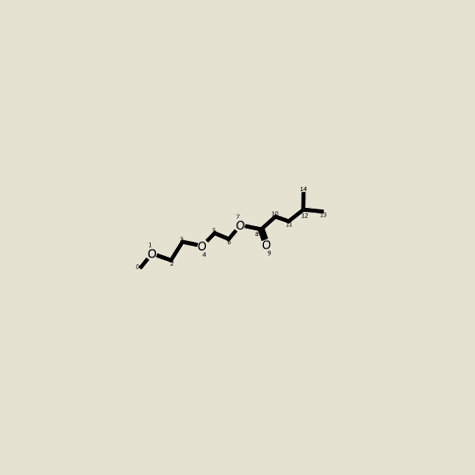 COCCOCCOC(=O)CCC(C)C